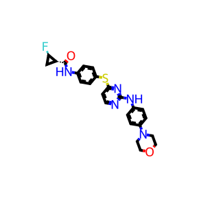 O=C(Nc1ccc(Sc2ccnc(Nc3ccc(N4CCOCC4)cc3)n2)cc1)[C@@H]1C[C@H]1F